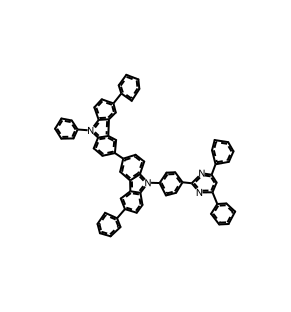 c1ccc(-c2ccc3c(c2)c2cc(-c4ccc5c(c4)c4cc(-c6ccccc6)ccc4n5-c4ccc(-c5nc(-c6ccccc6)cc(-c6ccccc6)n5)cc4)ccc2n3-c2ccccc2)cc1